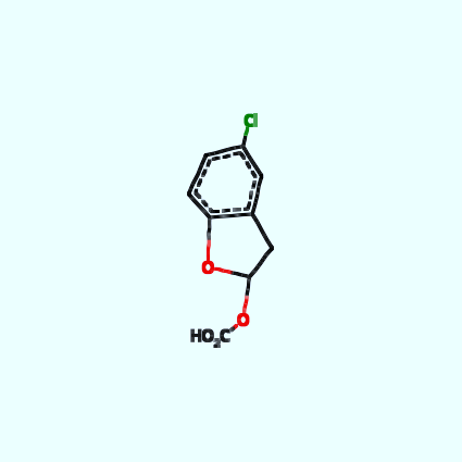 O=C(O)OC1Cc2cc(Cl)ccc2O1